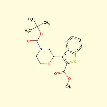 COC(=O)c1sc2ccccc2c1C1CN(C(=O)OC(C)(C)C)CCO1